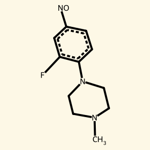 CN1CCN(c2ccc(N=O)cc2F)CC1